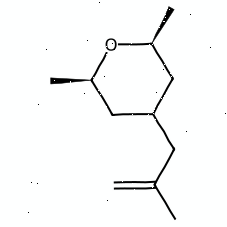 C=C(C)CC1C[C@@H](C)O[C@@H](C)C1